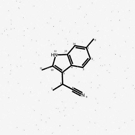 Cc1ccc2c(C(C)C#N)c(C)[nH]c2c1